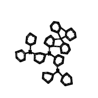 c1ccc(N(c2ccccc2)c2cccc(N(c3cccc(N(c4ccccc4)c4ccccc4)c3)c3cccc4c3-c3ccccc3C43c4ccccc4-c4ccccc43)c2)cc1